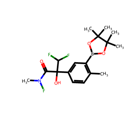 Cc1ccc(C(O)(C(=O)N(C)F)C(F)F)cc1B1OC(C)(C)C(C)(C)O1